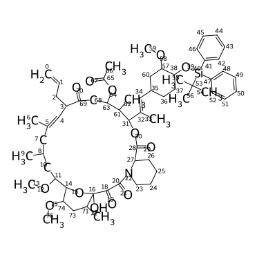 C=CCC1/C=C(\C)CC(C)CC(OC)C2OC(O)(C(=O)C(=O)N3CCCCC3C(=O)OC(C(C)=CC3CCC(O[Si](c4ccccc4)(c4ccccc4)C(C)(C)C)C(OC)C3)C(C)C(OC(C)=O)CC1=O)C(C)CC2OC